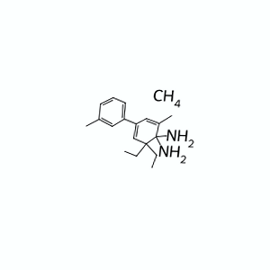 C.CCC1(CC)C=C(c2cccc(C)c2)C=C(C)C1(N)N